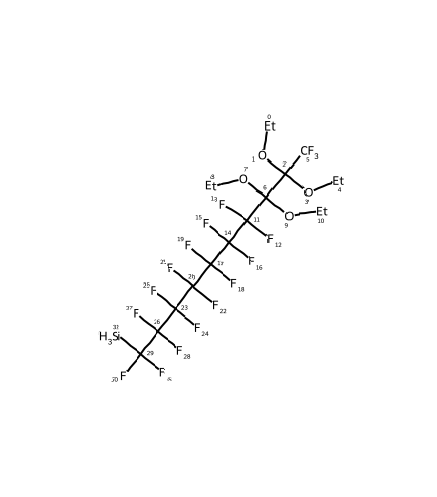 CCOC(OCC)(C(F)(F)F)C(OCC)(OCC)C(F)(F)C(F)(F)C(F)(F)C(F)(F)C(F)(F)C(F)(F)C(F)(F)[SiH3]